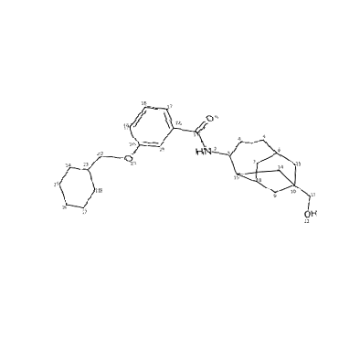 O=C(NC1CCC2CC3CC(CO)(C2)CC31)c1cccc(OCC2CCCCC2)c1